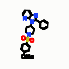 COc1ccc(S(=O)(=O)N2CCC(n3c(-c4ccccc4)nc4cccnc43)CC2)cc1